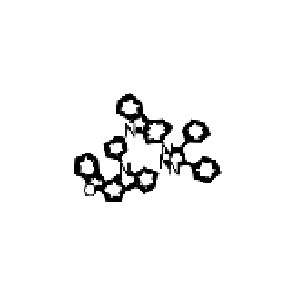 c1ccc(-c2nnn(-c3ccc4c5ccccc5n(-c5cccc(-n6c7ccccc7c7ccc8oc9ccccc9c8c76)c5)c4c3)c2-c2ccccc2)cc1